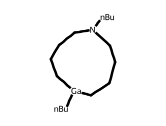 CCCCN1CCC[CH2][Ga]([CH2]CCC)[CH2]CCC1